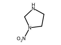 O=[N+]([O-])N1CCNC1